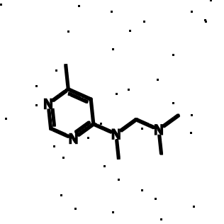 Cc1cc(N(C)CN(C)C)ncn1